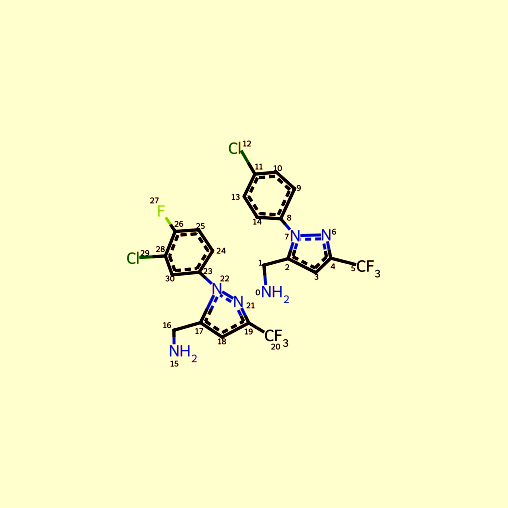 NCc1cc(C(F)(F)F)nn1-c1ccc(Cl)cc1.NCc1cc(C(F)(F)F)nn1-c1ccc(F)c(Cl)c1